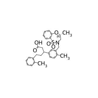 Cc1ccccc1CCC(CC(=O)O)c1ccc(C)c(CN2C[C@@H](C)Oc3ccccc3S2(=O)=O)c1